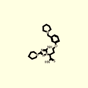 [NH]C(=S)C(CCOc1cccc(CN2CCCCC2)c1)n1nc(N2CCCCC2)nc1N